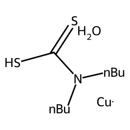 CCCCN(CCCC)C(=S)S.O.[Cu]